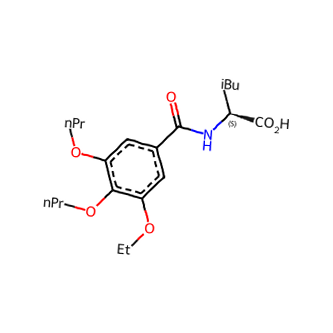 CCCOc1cc(C(=O)N[C@H](C(=O)O)C(C)CC)cc(OCC)c1OCCC